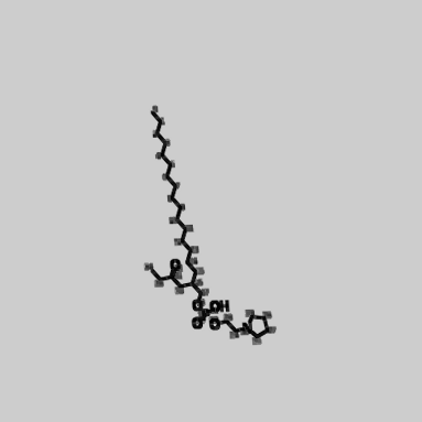 CCCCCCCCCCCCCCCCC(COP(=O)(O)OCCN1CCCC1)CC(=O)CC